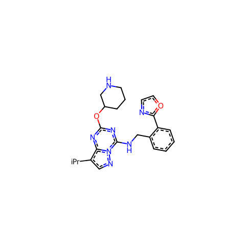 CC(C)c1cnn2c(NCc3ccccc3-c3ncco3)nc(OC3CCCNC3)nc12